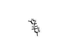 CC1=CC(C)([Si](C)(C)C2(C)C=C(C)N=N2)N=N1